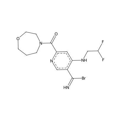 N=C(Br)c1cnc(C(=O)N2CCCOCC2)cc1NCC(F)F